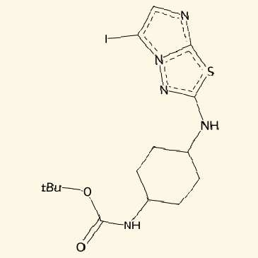 CC(C)(C)OC(=O)NC1CCC(Nc2nn3c(I)cnc3s2)CC1